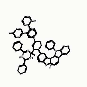 CC1C=CC(c2cc(C3=CC(C4(C)N=C(C5CC=CCC5)NC(C5=CCCC=C5)N4)C(C4C=CC5=C(C4)C4C6C(C=C[C@@]4(C)S5)C4=CCCC=C4N6C4CC=CCC4)CC3)ccc2C2C=CC=CC2C)=CC1